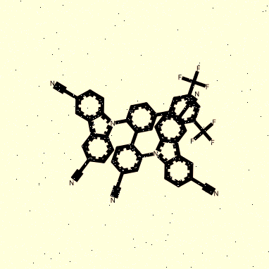 N#Cc1ccc(-c2cc(-c3cc(C(F)(F)F)cc(C(F)(F)F)c3)ccc2-n2c3ccc(C#N)cc3c3cc(C#N)ccc32)c(-n2c3ccc(C#N)cc3c3cc(C#N)ccc32)c1